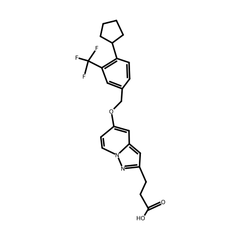 O=C(O)CCc1cc2cc(OCc3ccc(C4CCCC4)c(C(F)(F)F)c3)ccn2n1